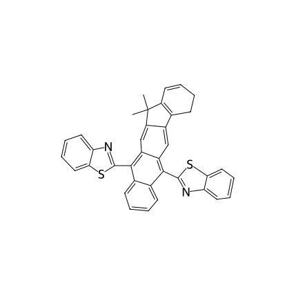 CC1(C)C2=C(CCC=C2)c2cc3c(-c4nc5ccccc5s4)c4ccccc4c(-c4nc5ccccc5s4)c3cc21